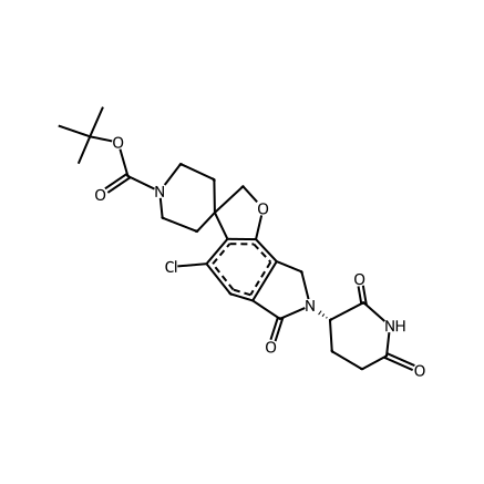 CC(C)(C)OC(=O)N1CCC2(CC1)COc1c3c(cc(Cl)c12)C(=O)N([C@H]1CCC(=O)NC1=O)C3